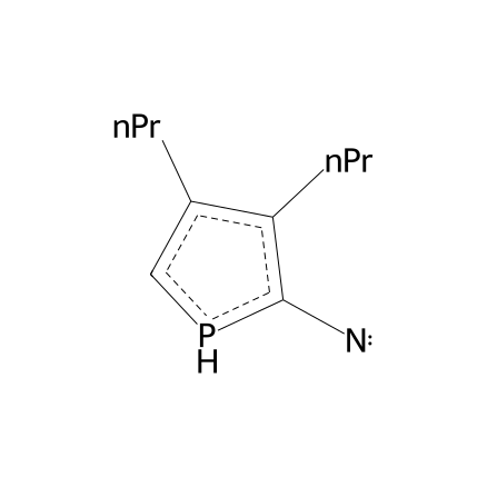 CCCc1c[pH]c([N])c1CCC